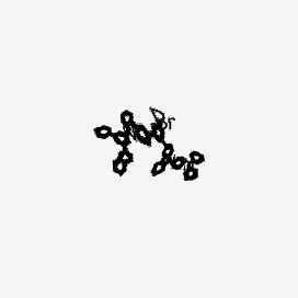 Brc1cc(-c2ccc3c(c2)c2ccccc2n3-c2ccc(N(c3ccccc3)c3ccccc3)cc2)cc(-c2ccc3c(c2)c2ccccc2n3-c2cc(-c3ccccc3)cc(-c3ccc4ccccc4c3)c2)c1